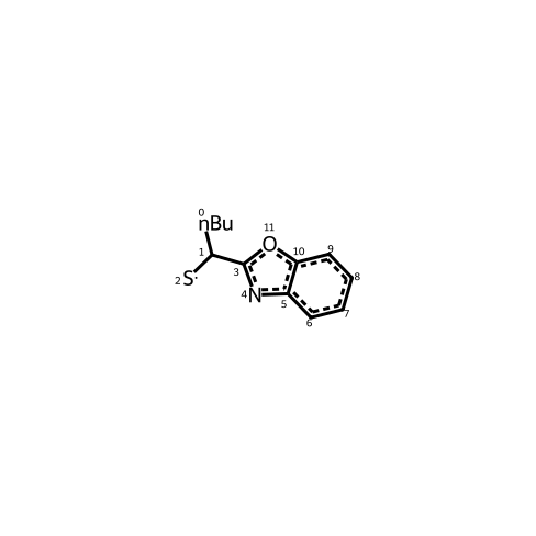 CCCCC([S])c1nc2ccccc2o1